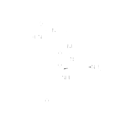 NC(=O)n1cc(NC(=O)N2C[C@@H](N)C[C@H]2C(=O)NCCCOc2ccccc2)c2ccccc21